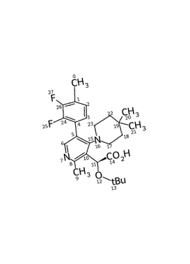 Cc1ccc(-c2cnc(C)c([C@H](OC(C)(C)C)C(=O)O)c2N2CCC(C)(C)CC2)c(F)c1F